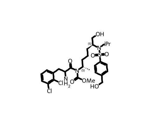 COC(=O)N(C(=O)C(N)Cc1cccc(Cl)c1Cl)[C@@H](C)CCC[C@@H](CO)N(C(C)C)S(=O)(=O)c1ccc(CO)cc1